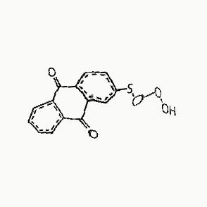 O=C1c2ccccc2C(=O)c2cc(SOOO)ccc21